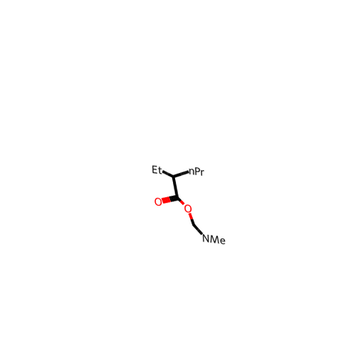 CCCC(CC)C(=O)OCNC